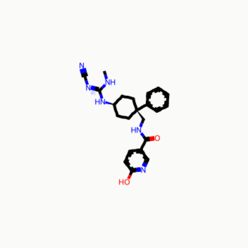 CN/C(=N\C#N)N[C@H]1CC[C@](CNC(=O)c2ccc(O)nc2)(c2ccccc2)CC1